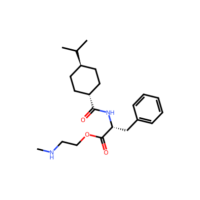 CNCCOC(=O)[C@@H](Cc1ccccc1)NC(=O)[C@H]1CC[C@H](C(C)C)CC1